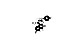 CCN(C(=O)Nc1ccc(F)cc1)C(C)c1c[nH]c(=O)c2c(F)c(F)ccc12